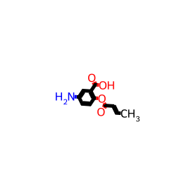 CC=CC(=O)Oc1ccc(N)cc1C(=O)O